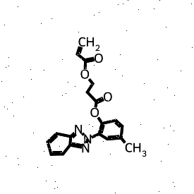 C=CC(=O)OCCC(=O)Oc1ccc(C)cc1-n1nc2ccccc2n1